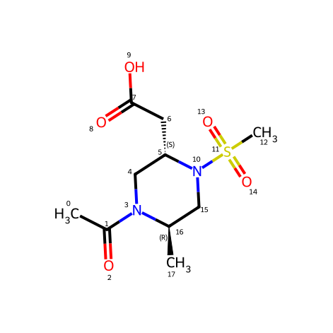 CC(=O)N1C[C@H](CC(=O)O)N(S(C)(=O)=O)C[C@H]1C